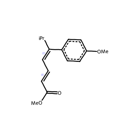 COC(=O)/C=C/C=C(\c1ccc(OC)cc1)C(C)C